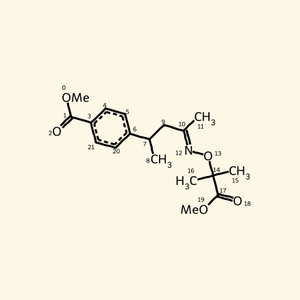 COC(=O)c1ccc(C(C)CC(C)=NOC(C)(C)C(=O)OC)cc1